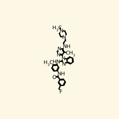 Cc1ccc(NC(=O)c2cccc(CF)c2)cc1Nc1nc2ccccc2n1-c1ncnc(NCCN2CCN(C)CC2)c1C